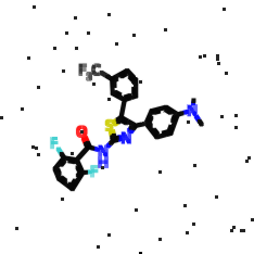 CN(C)c1ccc(-c2nc(NC(=O)c3c(F)cccc3F)sc2-c2cccc(C(F)(F)F)c2)cc1